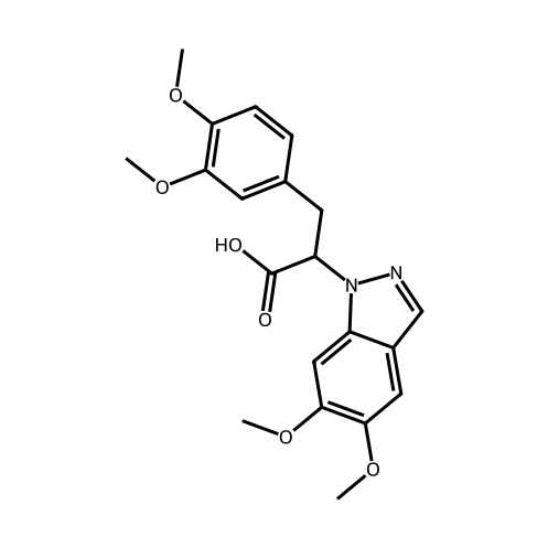 COc1ccc(CC(C(=O)O)n2ncc3cc(OC)c(OC)cc32)cc1OC